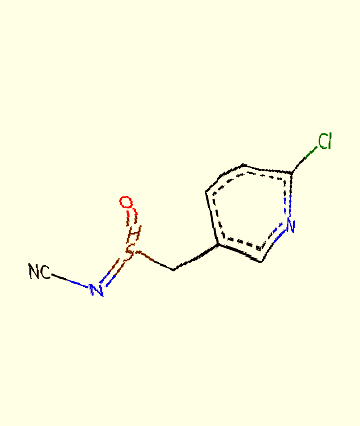 N#C/N=[SH](=O)/Cc1ccc(Cl)nc1